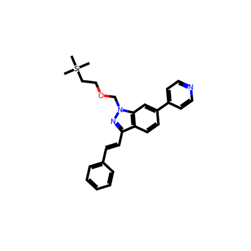 C[Si](C)(C)CCOCn1nc(C=Cc2ccccc2)c2ccc(-c3ccncc3)cc21